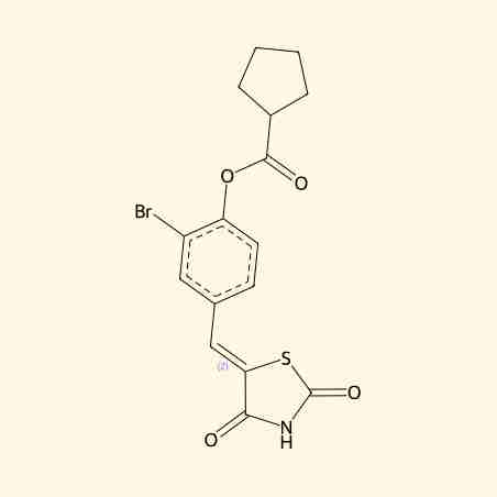 O=C1NC(=O)/C(=C/c2ccc(OC(=O)C3CCCC3)c(Br)c2)S1